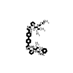 [C-]#[N+]N=C(N[C@H](C(=O)N1CCC[C@H]1c1ncc(-c2ccc(-c3ccc(-c4cnc([C@@H]5CCCN5C(=O)[C@@H](/N=C/OOC)C(C)C)[nH]4)cc3)cc2)[nH]1)C(C)C)Oc1ccccc1